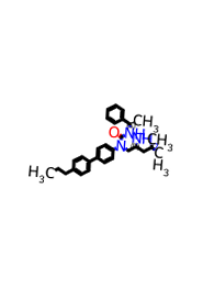 CCCc1ccc(-c2ccc(N(C[C@H](N)CC(C)C)C(=O)N[C@@H](C)c3ccccc3)cc2)cc1